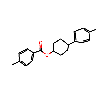 Cc1ccc(C(=O)OC2CCC(c3ccc(C)cc3)CC2)cc1